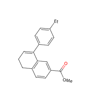 CCc1ccc(C2=CCCc3ccc(C(=O)OC)cc32)cc1